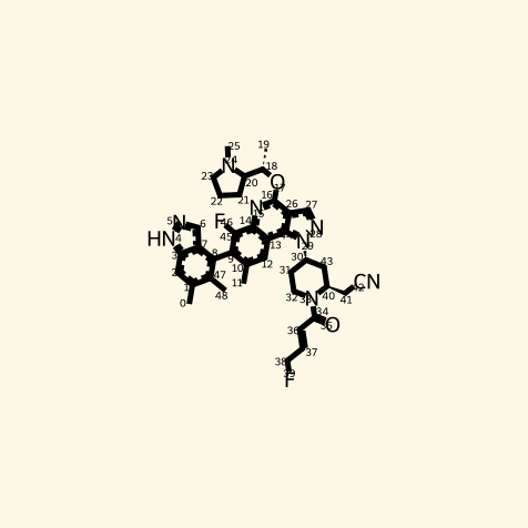 Cc1cc2[nH]ncc2c(-c2c(C)cc3c(nc(O[C@@H](C)C4CCCN4C)c4cnn([C@H]5CCN(C(=O)/C=C/CF)[C@H](CC#N)C5)c43)c2F)c1C